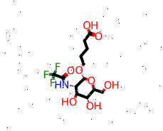 O=C(O)CCCCO[C@@H]1OC(CO)[C@H](O)C(O)[C@@H]1NC(=O)C(F)(F)F